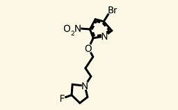 O=[N+]([O-])c1cc(Br)cnc1OCCCN1CCC(F)C1